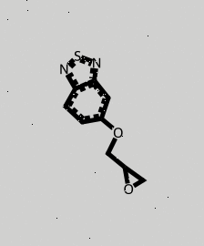 c1cc2nsnc2cc1OCC1CO1